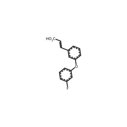 O=C(O)/C=C/c1cccc(Oc2cccc(F)c2)c1